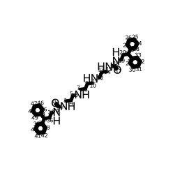 O=C(NCCCNCCCCNCCCNC(=O)NCCC(c1ccccc1)c1ccccc1)NCCC(c1ccccc1)c1ccccc1